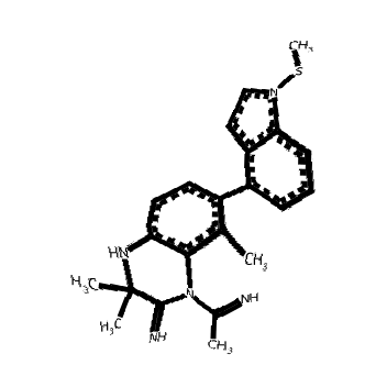 CSn1ccc2c(-c3ccc4c(c3C)N(C(C)=N)C(=N)C(C)(C)N4)cccc21